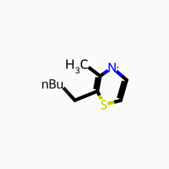 CCCCCC1=C(C)[N]C=CS1